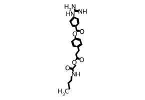 CCCCCNC(=O)COC(=O)CCc1ccc(OC(=O)c2ccc(NC(=N)N)cc2)cc1